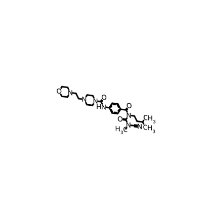 CC(C)CCN(C(=O)c1ccc(NC(=O)N2CCN(CCN3CCOCC3)CC2)cc1)C(=O)N(C)C#N